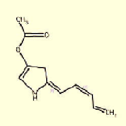 C=C/C=C\C=C1/CC(OC(C)=O)=CN1